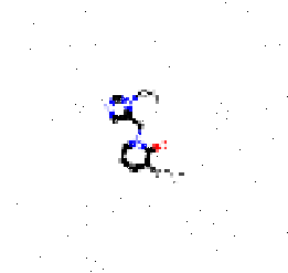 Cn1cncc1Cn1cccc(C(=O)O)c1=O